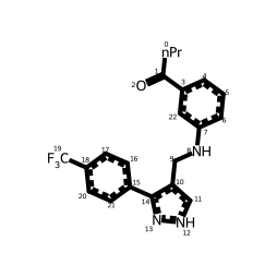 CCCC(=O)c1cccc(NCc2c[nH]nc2-c2ccc(C(F)(F)F)cc2)c1